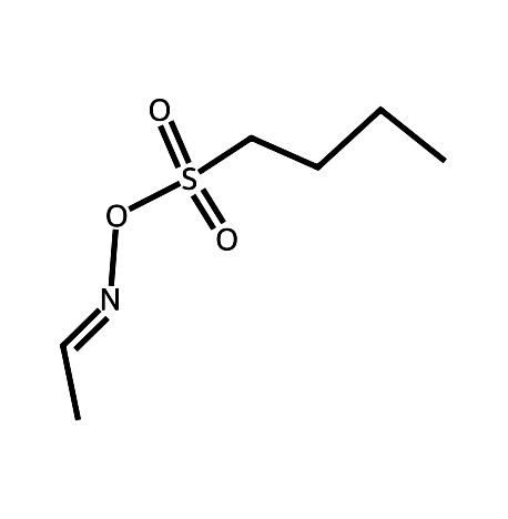 CC=NOS(=O)(=O)CCCC